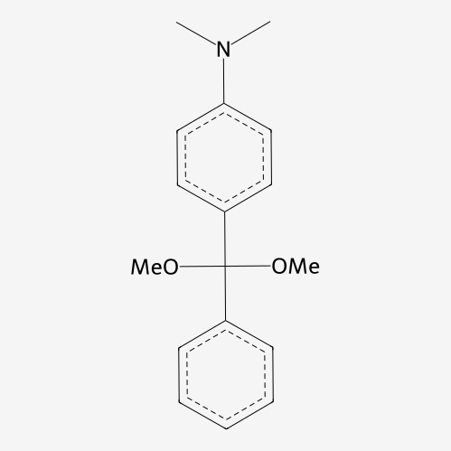 COC(OC)(c1ccccc1)c1ccc(N(C)C)cc1